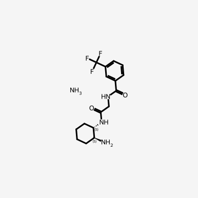 N.N[C@H]1CCCC[C@@H]1NC(=O)CNC(=O)c1cccc(C(F)(F)F)c1